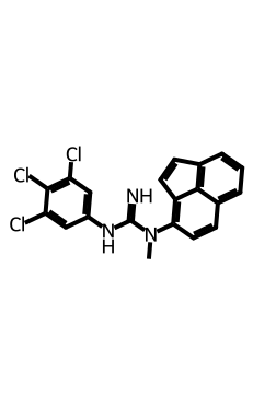 CN(C(=N)Nc1cc(Cl)c(Cl)c(Cl)c1)c1ccc2cccc3c2c1C=C3